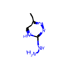 CC1=NN=C(NN)NC1